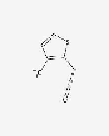 O=C=Nc1sccc1C(F)(F)F